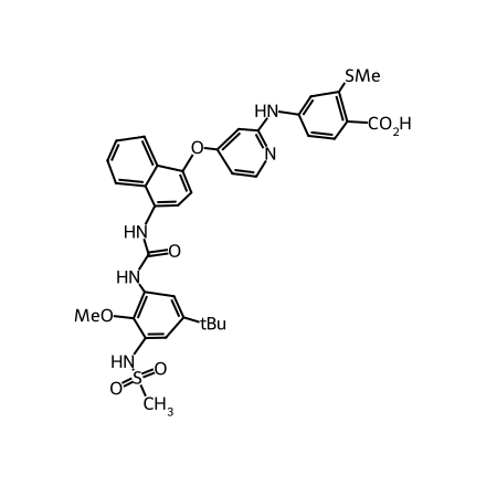 COc1c(NC(=O)Nc2ccc(Oc3ccnc(Nc4ccc(C(=O)O)c(SC)c4)c3)c3ccccc23)cc(C(C)(C)C)cc1NS(C)(=O)=O